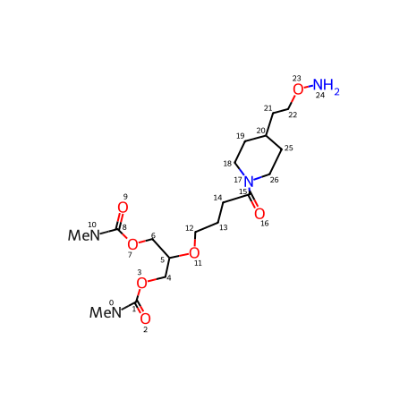 CNC(=O)OCC(COC(=O)NC)OCCCC(=O)N1CCC(CCON)CC1